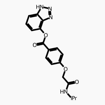 CC(C)NC(=O)COc1ccc(C(=O)Oc2cccc3[nH]nnc23)cc1